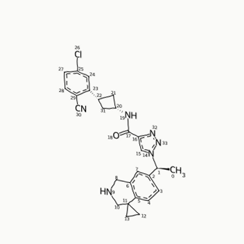 C[C@@H](c1ccc2c(c1)CNCC21CC1)n1cc(C(=O)N[C@H]2C[C@@H](c3cc(Cl)ccc3C#N)C2)nn1